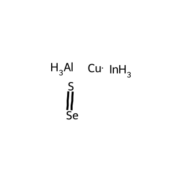 S=[Se].[AlH3].[Cu].[InH3]